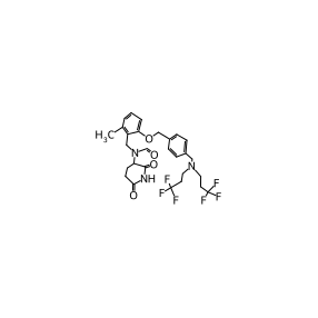 Cc1cccc(OCc2ccc(CN(CCC(F)(F)F)CCC(F)(F)F)cc2)c1CN(C=O)C1CCC(=O)NC1=O